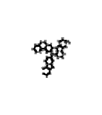 C/C=C\c1oc2cc(N(c3ccc4ccc5ccccc5c4c3)c3cccc4c(C)c(/C=C\N)oc34)ccc2c1C